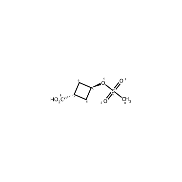 CS(=O)(=O)O[C@H]1C[C@H](C(=O)O)C1